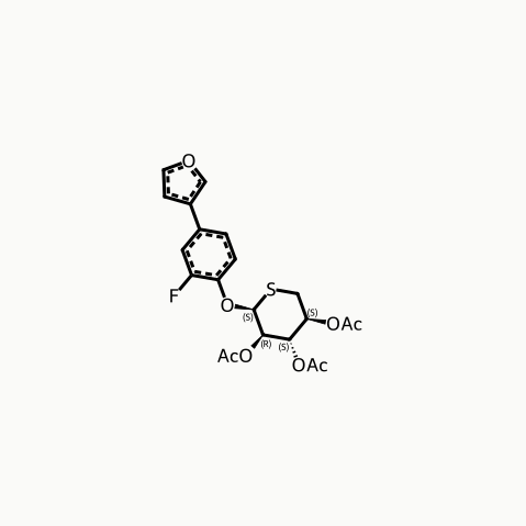 CC(=O)O[C@@H]1[C@@H](OC(C)=O)[C@@H](Oc2ccc(-c3ccoc3)cc2F)SC[C@H]1OC(C)=O